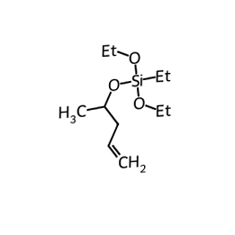 C=CCC(C)O[Si](CC)(OCC)OCC